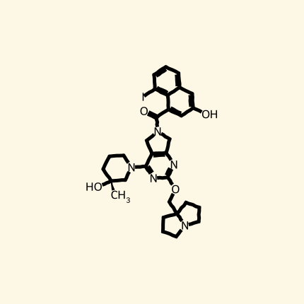 C[C@@]1(O)CCCN(c2nc(OCC34CCCN3CCC4)nc3c2CN(C(=O)c2cc(O)cc4cccc(I)c24)C3)C1